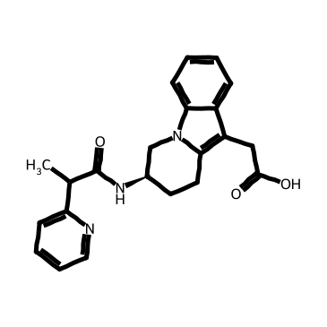 CC(C(=O)N[C@@H]1CCc2c(CC(=O)O)c3ccccc3n2C1)c1ccccn1